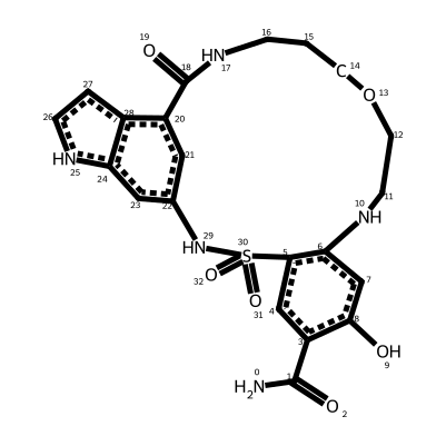 NC(=O)c1cc2c(cc1O)NCCOCCCNC(=O)c1cc(cc3[nH]ccc13)NS2(=O)=O